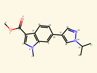 COC(=O)c1cn(C)c2cc(-c3cnn(C(C)C)c3)ccc12